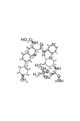 C[C@H]1CN(c2ccncc2NC(=O)c2nc3cc(C4=CCN(C)CC4)ccc3cc2NC(=O)O)C[C@@H](NC(=O)OC(C)(C)C)[C@@H]1O[Si](C)(C)C(C)(C)C